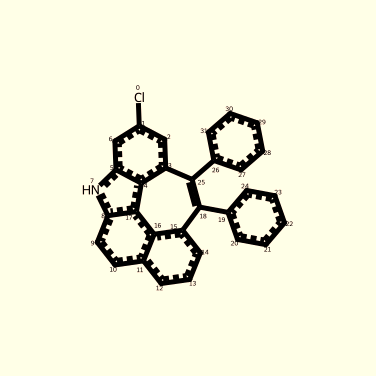 Clc1cc2c3c(c1)[nH]c1ccc4cccc(c4c13)C(c1ccccc1)=C2c1ccccc1